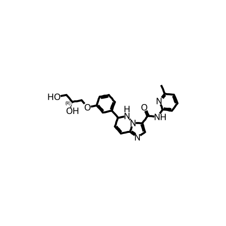 Cc1cccc(NC(=O)c2cnc3n2NC(c2cccc(OC[C@H](O)CO)c2)C=C3)n1